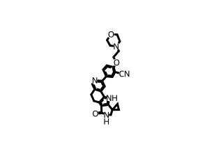 N#Cc1cc(-c2cc3c(cn2)CCc2c-3[nH]c3c2C(=O)NCC32CC2)ccc1OCCN1CCOCC1